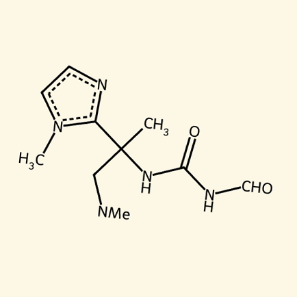 CNCC(C)(NC(=O)NC=O)c1nccn1C